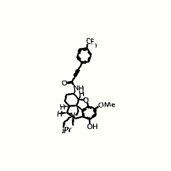 COc1cc(O)c2c3c1O[C@H]1[C@H](NC(=O)C#Cc4ccc(C(F)(F)F)cc4)CC[C@H]4[C@@H](C2)[N+](C)(CC(C)C)CC[C@@]341